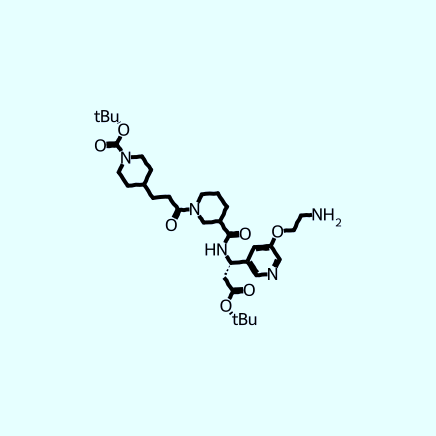 CC(C)(C)OC(=O)C[C@H](NC(=O)C1CCCN(C(=O)CCC2CCN(C(=O)OC(C)(C)C)CC2)C1)c1cncc(OCCN)c1